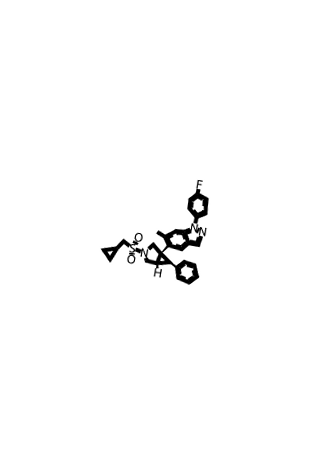 Cc1cc2c(cnn2-c2ccc(F)cc2)cc1[C@]12CN(S(=O)(=O)CC3CC3)C[C@H]1[C@@H]2c1ccccc1